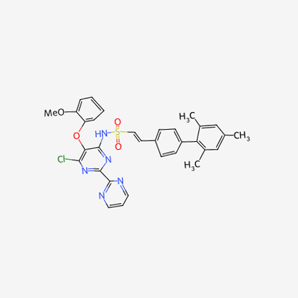 COc1ccccc1Oc1c(Cl)nc(-c2ncccn2)nc1NS(=O)(=O)C=Cc1ccc(-c2c(C)cc(C)cc2C)cc1